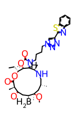 B[C@@H]1CC(=O)[C@@H](C)C(=O)O[C@H](CC)[C@@]2(C)OC(=O)N(CCCCn3cc(-c4nc5ccccc5s4)nn3)[C@@H]2[C@@H](C)NC[C@H](C)C[C@@]1(C)OC